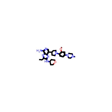 CCc1nc2c(N)ncc(C3CCN(c4ccc(N5CCN(C)CC5)cc4OC)CC3)c2nc1NC1CCOCC1